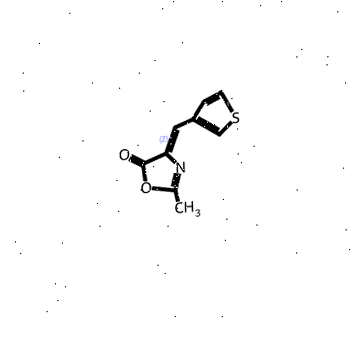 CC1=N/C(=C\c2ccsc2)C(=O)O1